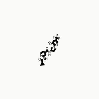 COc1cc(C(F)(F)F)cnc1N1CCC(NC(=O)c2ccnc(NC(=O)C3CC3)c2)C1